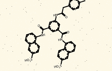 Cc1ccc(CC(=O)Nc2cc(C(=O)Nc3cccc4cc(S(=O)(=O)O)ccc34)cc(C(=O)Nc3cccc4cc(S(=O)(=O)O)ccc34)c2)cc1